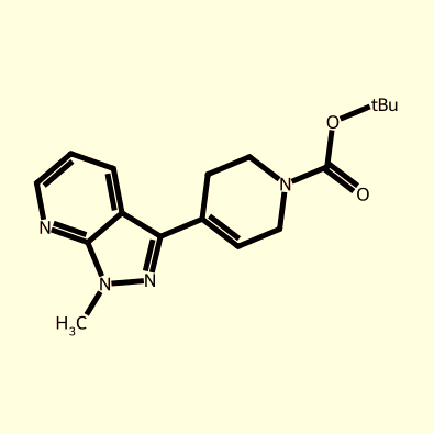 Cn1nc(C2=CCN(C(=O)OC(C)(C)C)CC2)c2cccnc21